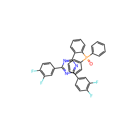 O=P(c1ccccc1)(c1ccccc1)c1ccccc1-c1nc(-c2ccc(F)c(F)c2)nc(-c2ccc(F)c(F)c2)n1